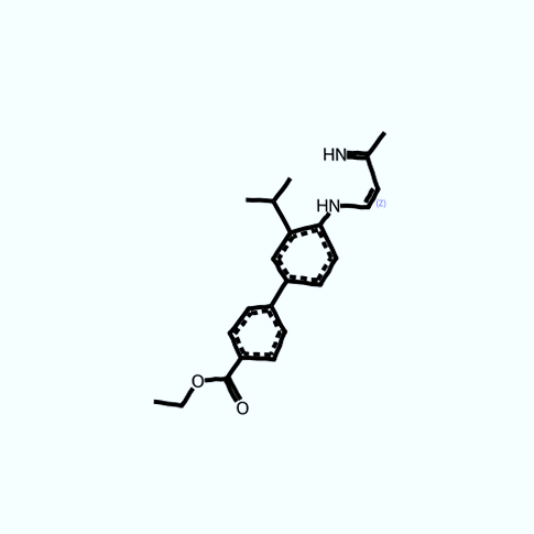 CCOC(=O)c1ccc(-c2ccc(N/C=C\C(C)=N)c(C(C)C)c2)cc1